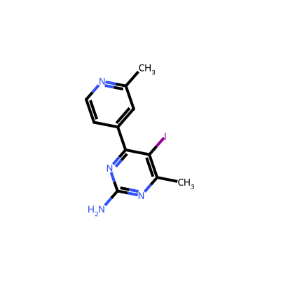 Cc1cc(-c2nc(N)nc(C)c2I)ccn1